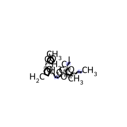 C=C1C[C@H](C[C@@H]2CCO[C@H](C)O2)O[C@@H](C/C=C\C(=O)O[C@H]2[C@@H](C)[C@@H](C/C=C/C)O[C@@H](/C(C)=C/I)[C@@H]2C)C1